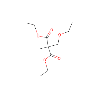 CCOCC(C)(C(=O)OCC)C(=O)OCC